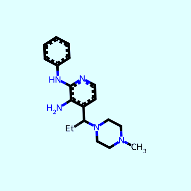 CCC(c1ccnc(Nc2ccccc2)c1N)N1CCN(C)CC1